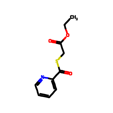 CCOC(=O)CSC(=O)c1ccccn1